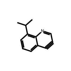 CC(C)c1cccc2c#ccnc12